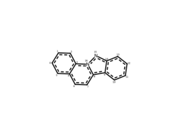 c1ccc2c(c1)ccc1c3ccccc3nn21